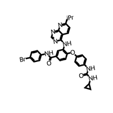 CC(C)c1ccc2c(Nc3cc(C(=O)Nc4ccc(Br)cc4)ccc3Oc3ccc(NC(=O)NC4CC4)cc3)ncnc2n1